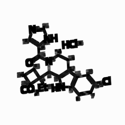 CCOC(=O)C1(C2c3[nH]c4ccc(Cl)cc4c3CCN2C(=O)c2cnc[nH]2)CCC1.Cl